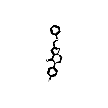 O=C1c2cc(COc3ccccc3)nn2CCN1c1ccc(F)cc1